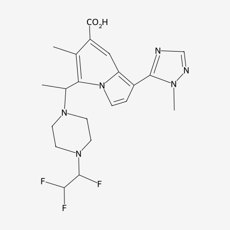 Cc1c(C(=O)O)cc2c(-c3ncnn3C)ccn2c1C(C)N1CCN(C(F)C(F)F)CC1